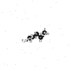 Cc1cc(Cl)cc(-c2ccnc3cc(Cn4c(=O)ccn(CC(F)(F)F)c4=O)sc23)c1O[C@@H]1CNC[C@H](F)C1